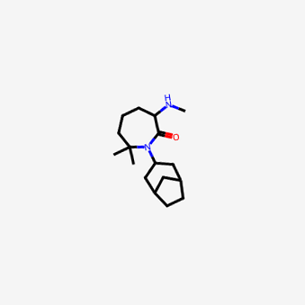 CNC1CCCC(C)(C)N(C2CC3CCC(C3)C2)C1=O